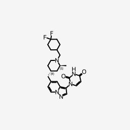 C[C@H]1C[C@H](Cc2ccn3ncc(-n4ccc(=O)[nH]c4=O)c3c2)CCN1CC1CCC(F)(F)CC1